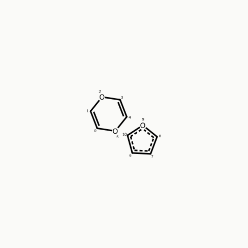 C1=COC=CO1.c1ccoc1